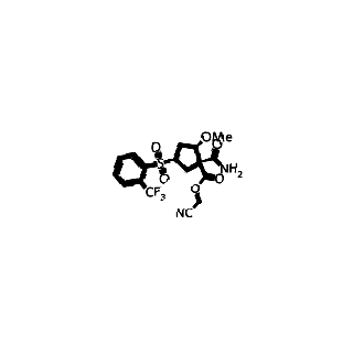 CO[C@@H]1C[C@H](S(=O)(=O)c2ccccc2C(F)(F)F)C[C@@]1(C(N)=O)C(=O)OCC#N